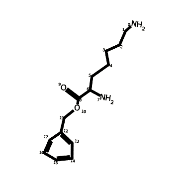 NCCCCCC(N)C(=O)OCc1ccccc1